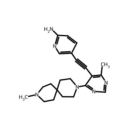 Cc1ncnc(N2CCC3(CCN(C)CC3)CC2)c1C#Cc1ccc(N)nc1